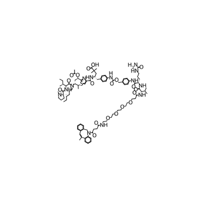 CCCCCCN(C(=O)[C@@H](NC(=O)[C@@]1(C)CCCN1C)[C@@H](C)CC)[C@H](C[C@@H](OC(C)=O)c1nc(C(=O)N[C@@H](Cc2ccc(NC(=O)OCc3ccc(NC(=O)[C@H](CCCNC(N)=O)NC(=O)[C@@H](NC(=O)CCOCCOCCOCCOCCNC(=O)CCC(=O)N4Cc5ccccc5/C=C(/C)c5ccccc54)C(C)C)cc3)cc2)CC(C)(C)C(=O)O)cs1)C(C)C